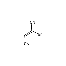 N#C/C=C(\Br)C#N